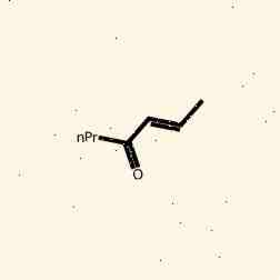 [CH2]CCC(=O)/C=C/C